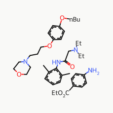 CCCCOc1ccc(OCCCN2CCOCC2)cc1.CCN(CC)CC(=O)Nc1c(C)cccc1C.CCOC(=O)c1ccc(N)cc1